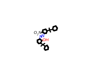 CC(C)(c1ccccc1)c1ccc([N+](=O)[O-])c(/N=N/c2cccc(C(C)(C)c3ccccc3)c2O)c1